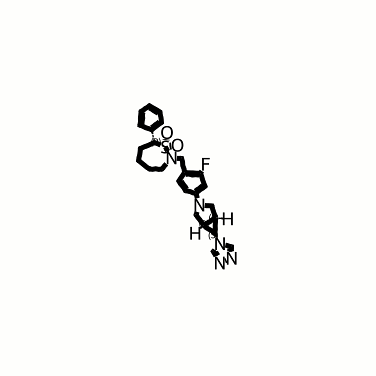 O=S1(=O)[C@@H](c2ccccc2)CCCCN1Cc1ccc(N2C[C@@H]3[C@H](C2)[C@H]3n2cnnc2)cc1F